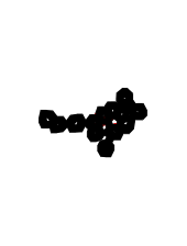 c1ccc(-c2ccccc2-c2c(-c3ccccc3)cccc2N(c2ccc(-c3ccc(-c4ccc5ccccc5c4)cc3)cc2)c2cccc3c2-c2ccccc2C32c3ccccc3-c3ccccc32)cc1